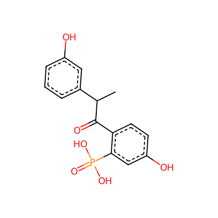 CC(C(=O)c1ccc(O)cc1P(=O)(O)O)c1cccc(O)c1